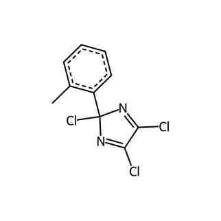 Cc1ccccc1C1(Cl)N=C(Cl)C(Cl)=N1